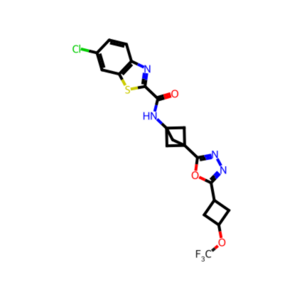 O=C(NC12CC(c3nnc(C4CC(OC(F)(F)F)C4)o3)(C1)C2)c1nc2ccc(Cl)cc2s1